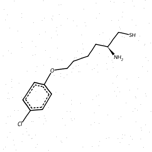 N[C@H](CS)CCCCOc1ccc(Cl)cc1